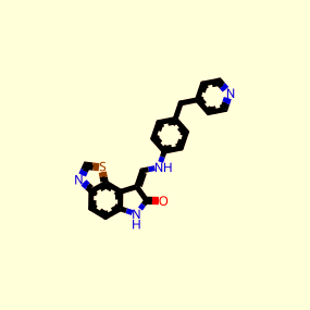 O=C1Nc2ccc3ncsc3c2/C1=C/Nc1ccc(Cc2ccncc2)cc1